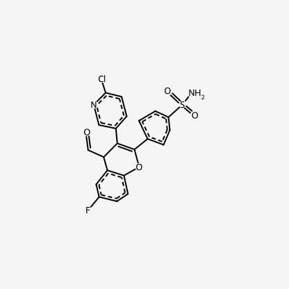 NS(=O)(=O)c1ccc(C2=C(c3ccc(Cl)nc3)C(C=O)c3cc(F)ccc3O2)cc1